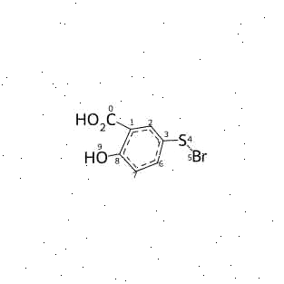 O=C(O)c1cc(SBr)ccc1O